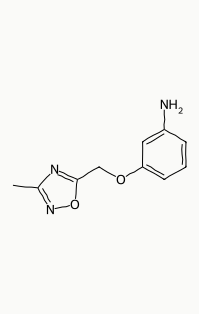 Cc1noc(COc2cccc(N)c2)n1